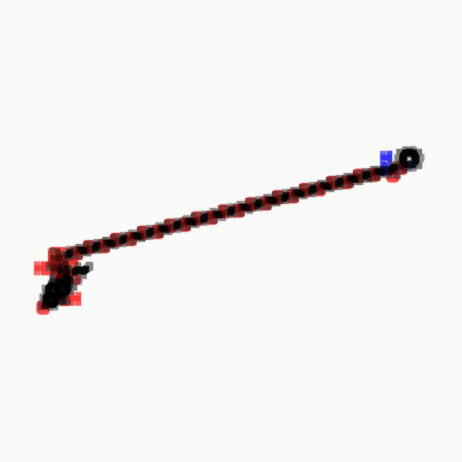 CCCC1O[C@@H]2C[C@H]3[C@@H]4CCC5=CC(=O)C=C[C@]5(C)[C@H]4[C@@H](O)C[C@]3(C)[C@]2(C(=O)COP(=O)(O)OP(=O)(O)OCCOCCOCCOCCOCCOCCOCCOCCOCCOCCOCCOCCOCCOCCOCCOCCOCCOCCOCCOCCOCCOCCOCCOCCNC(=O)COC2/C=C\CCCCC2)O1